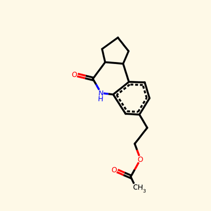 CC(=O)OCCc1ccc2c(c1)NC(=O)C1CCCC21